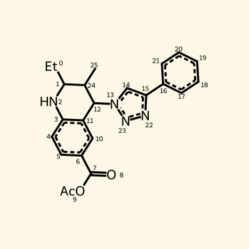 CCC1Nc2ccc(C(=O)OC(C)=O)cc2C(n2cc(-c3ccccc3)nn2)C1C